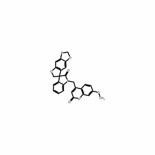 COc1ccc2c(CN3C(=O)C4(COc5cc6c(cc54)OCO6)c4ccccc43)cc(=O)oc2c1